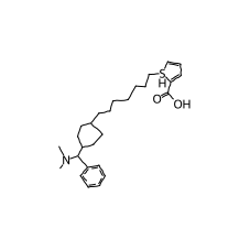 CN(C)C(c1ccccc1)C1CCC(CCCCCCC[SH]2C=CC=C2C(=O)O)CC1